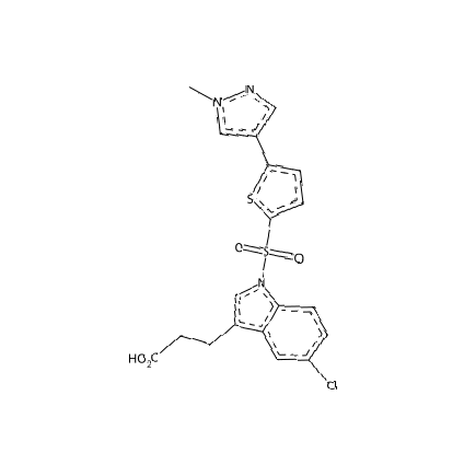 Cn1cc(-c2ccc(S(=O)(=O)n3cc(CCC(=O)O)c4cc(Cl)ccc43)s2)cn1